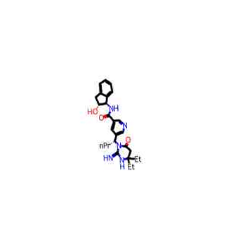 CCC[C@H](c1cncc(C(=O)N[C@@H]2c3ccccc3C[C@H]2O)c1)N1C(=N)NC(CC)(CC)CC1=O